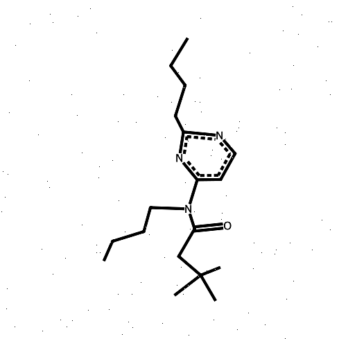 CCCCc1nccc(N(CCCC)C(=O)CC(C)(C)C)n1